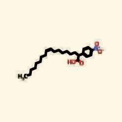 CCCCCCCC/C=C\CCCCCCC(C(=O)O)c1ccc([N+](=O)[O-])cc1